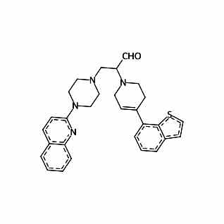 O=CC(CN1CCN(c2ccc3ccccc3n2)CC1)N1CC=C(c2cccc3ccsc23)CC1